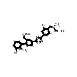 COCc1cc(-c2nc(-c3ccc(CN(C)CC(=O)O)c(F)c3)no2)ccc1-c1cccc(F)c1C